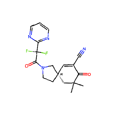 CC1(C)C[C@]2(C=C(C#N)C1=O)CCN(C(=O)C(F)(F)c1ncccn1)C2